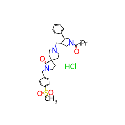 CC(C)C(=O)N1CC(CN2CCC3(CC2)CCN(Cc2ccc(S(C)(=O)=O)cc2)C3=O)C(c2ccccc2)C1.Cl